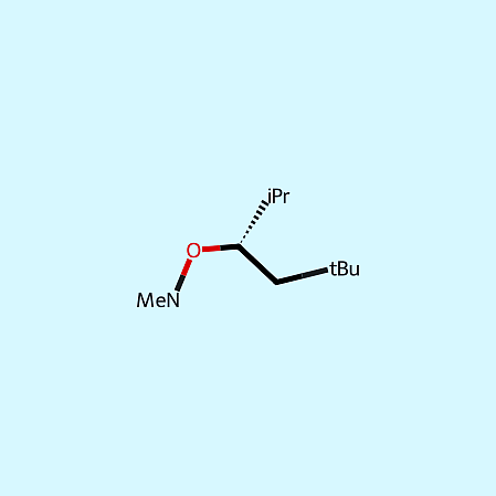 CNO[C@@H](CC(C)(C)C)C(C)C